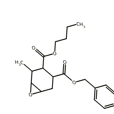 CCCCOC(=O)C1C(C(=O)OCc2ccccc2)CC2OC2C1C